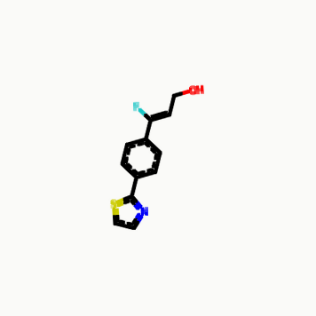 OCC=C(F)c1ccc(-c2nccs2)cc1